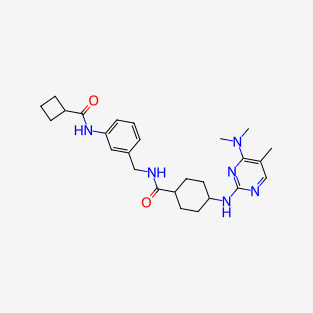 Cc1cnc(NC2CCC(C(=O)NCc3cccc(NC(=O)C4CCC4)c3)CC2)nc1N(C)C